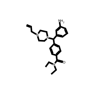 C=CCN1CCN(C(c2ccc(C(=O)N(CC)CC)cc2)c2cccc(N)c2)CC1